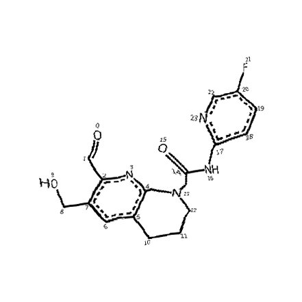 O=Cc1nc2c(cc1CO)CCCN2C(=O)Nc1ccc(F)cn1